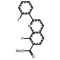 COC(=O)c1ccc2ccc(-c3ccccc3F)nc2c1F